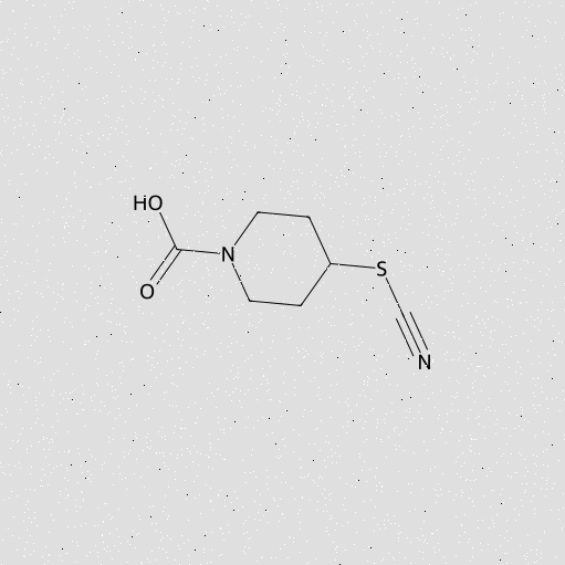 N#CSC1CCN(C(=O)O)CC1